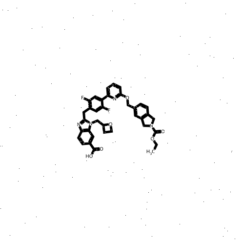 CCOC(=O)N1Cc2ccc(COc3cccc(-c4cc(F)c(Cc5nc6ccc(C(=O)O)cc6n5CC5CCO5)cc4F)n3)cc2C1